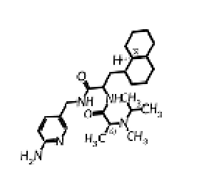 CC(C)N(C)[C@@H](C)C(=O)NC(CC1CCCC2CCCC[C@@H]21)C(=O)NCc1ccc(N)nc1